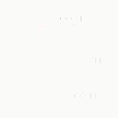 C=CC(=O)O.O=C(O)Oc1ccccc1